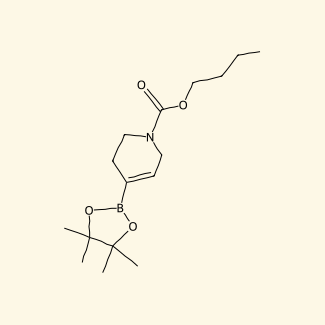 CCCCOC(=O)N1CC=C(B2OC(C)(C)C(C)(C)O2)CC1